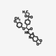 CCS(=O)(=O)c1ccc(C(Oc2ccc(OC)cc2)C(=O)Nc2nc3cc4c(cc3s2)OCO4)cc1